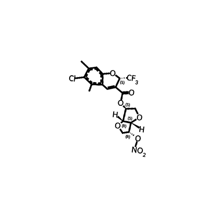 Cc1cc2c(c(C)c1Cl)C=C(C(=O)O[C@H]1CO[C@H]3[C@@H]1OC[C@H]3O[N+](=O)[O-])[C@@H](C(F)(F)F)O2